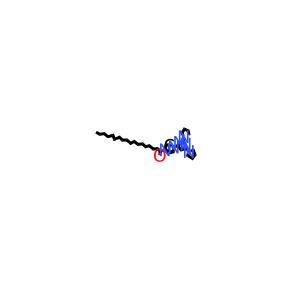 CCCCCCCCCCCCCCCCCC(=O)N1CCN(c2cc(N3CCCC3)nc(N3CCCC3)n2)CC1